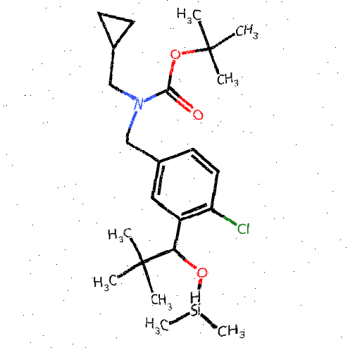 C[SiH](C)OC(c1cc(CN(CC2CC2)C(=O)OC(C)(C)C)ccc1Cl)C(C)(C)C